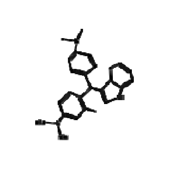 CCCCN(CCCC)c1ccc(C(c2ccc(N(C)C)cc2)c2c[nH]c3ccccc23)c(C)c1